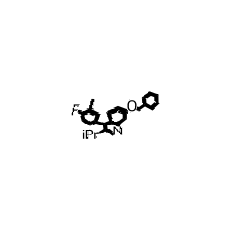 Cc1cc(-c2c(C(C)C)cnc3cc(OCc4ccccc4)ccc23)ccc1F